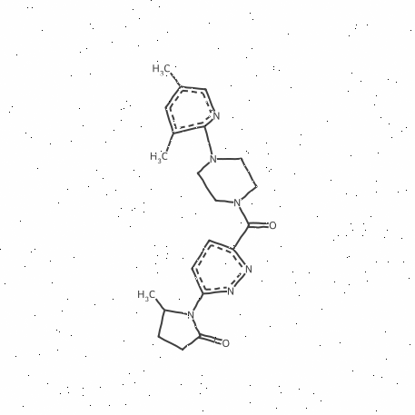 Cc1cnc(N2CCN(C(=O)c3ccc(N4C(=O)CCC4C)nn3)CC2)c(C)c1